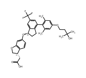 Cc1cc(OCCC(C)(C)O)cc(C)c1-c1cc(C(F)(F)F)cc2c1CC[C@H]2Oc1ccc2c(c1)OC[C@H]2CC(=O)O